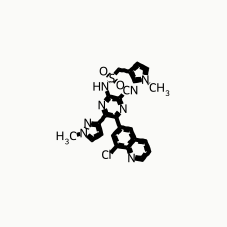 Cn1ccc(CS(=O)(=O)Nc2nc(-c3ccn(C)n3)c(-c3cc(Cl)c4ncccc4c3)nc2C#N)c1